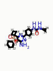 Nc1cc(C2(S(=O)(=O)c3ccccc3)CCC2)nc(-c2ccc(NC(=O)NC3CC3)cc2)n1